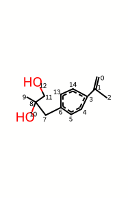 C=C(C)c1ccc(CC(C)(O)CO)cc1